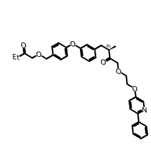 CCC(=O)COCc1ccc(Oc2cccc(C[C@@H](C)C(=O)COCCOc3ccc(-c4ccccc4)nc3)c2)cc1